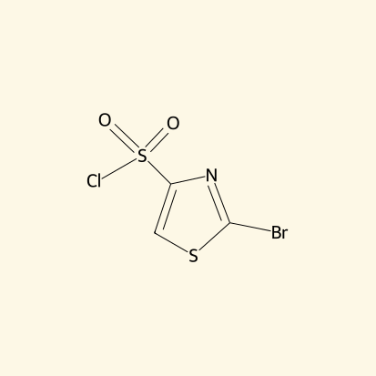 O=S(=O)(Cl)c1csc(Br)n1